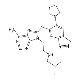 CC(C)CNCCn1c(Sc2cc3nnsc3cc2N2CCCC2)nc2c(N)ncnc21